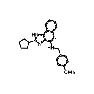 COc1ccc(CNc2nc3ccccc3c3[nH]c(C4CCCC4)nc23)cc1